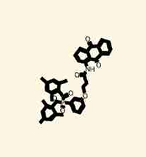 Cc1cc(C)c(C(=O)P(=O)(C(=O)c2c(C)cc(C)cc2C)c2cccc(OCCC(=O)Nc3cccc4c3C(=O)c3ccccc3C4=O)c2)c(C)c1